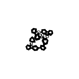 c1ccc(-n2c3ccccc3c3ccc(-c4cccc(-c5cccc(N(c6cccc7c6oc6ccccc67)c6cccc7c6oc6ccccc67)c5)c4)cc32)cc1